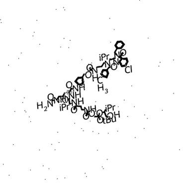 Cc1ccc(C(=O)N(CCCNC(=O)OCc2ccc(NC(=O)[C@@H](CCCNC(N)=O)NC(=O)C(NC(=O)CCNC(=O)OCC(OC(CO)C(C)C)OC(C)(C)C)C(C)C)cc2)C(c2nc3cc(Cl)ccc3c(=O)n2Cc2ccccc2)C(C)C)cc1